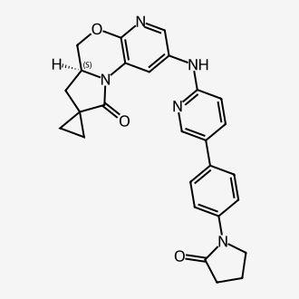 O=C1CCCN1c1ccc(-c2ccc(Nc3cnc4c(c3)N3C(=O)C5(CC5)C[C@H]3CO4)nc2)cc1